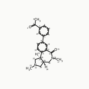 CC(=O)c1cccc(-c2ccc3c(c2)C(=O)N(C)C[C@@H]2CN(C)C[C@@H]32)c1